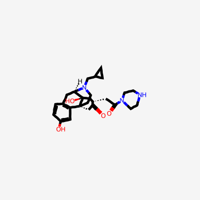 O=C1C[C@]23CCN(CC4CC4)[C@H](Cc4ccc(O)cc42)[C@]3(O)C[C@@H]1CC(=O)N1CCNCC1